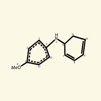 COc1ccc(NC2C=CC=CC2)cc1